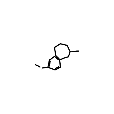 COc1ccc2c(c1)CCC[C@@H](C)C2